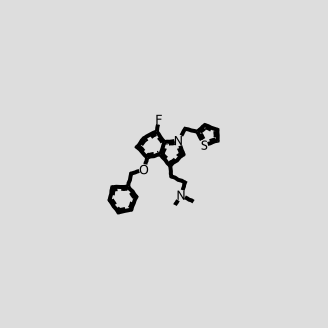 CN(C)CCc1cn(Cc2cccs2)c2c(F)ccc(OCc3ccccc3)c12